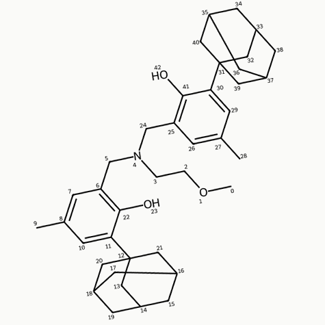 COCCN(Cc1cc(C)cc(C23CC4CC(CC(C4)C2)C3)c1O)Cc1cc(C)cc(C23CC4CC(CC(C4)C2)C3)c1O